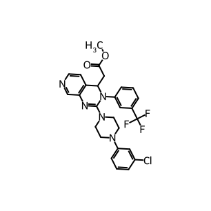 COC(=O)CC1c2ccncc2N=C(N2CCN(c3cccc(Cl)c3)CC2)N1c1cccc(C(F)(F)F)c1